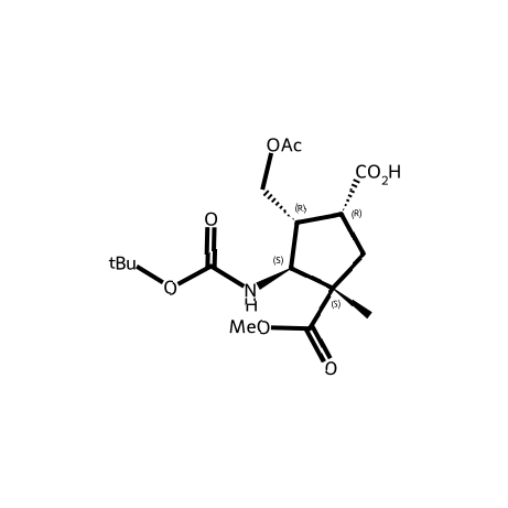 COC(=O)[C@@]1(C)C[C@@H](C(=O)O)[C@@H](COC(C)=O)[C@@H]1NC(=O)OC(C)(C)C